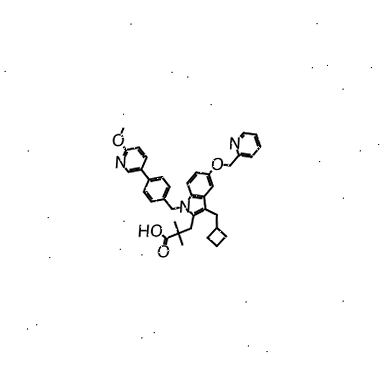 COc1ccc(-c2ccc(Cn3c(CC(C)(C)C(=O)O)c(CC4CCC4)c4cc(OCc5ccccn5)ccc43)cc2)cn1